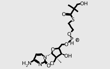 CC(C)(CO)C(=O)SCCO[PH](=O)OCC1O[C@@H](n2ccc(N)nc2=O)[C@](C)(Cl)[C@@H]1O